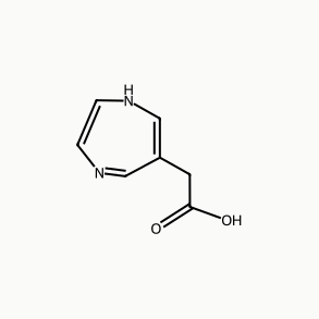 O=C(O)CC1=CNC=CN=C1